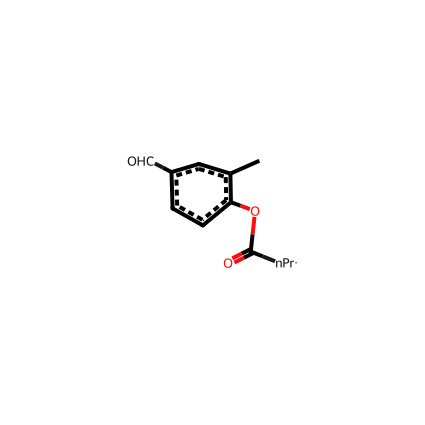 CC[CH]C(=O)Oc1ccc(C=O)cc1C